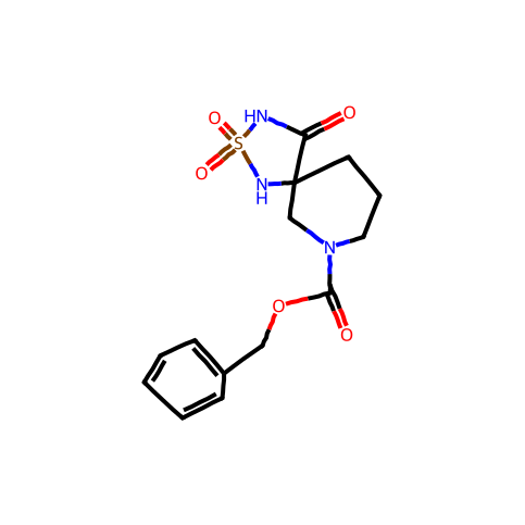 O=C(OCc1ccccc1)N1CCCC2(C1)NS(=O)(=O)NC2=O